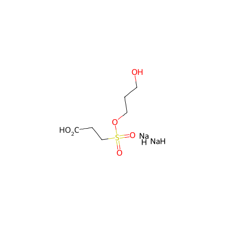 O=C(O)CCS(=O)(=O)OCCCO.[NaH].[NaH]